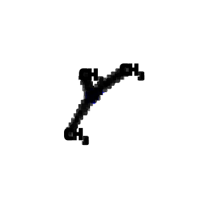 CCCCCCCCCCCCCCCCn1cc[n+](CCCCCCCCCCCCCCC)c1CCCCCCCC